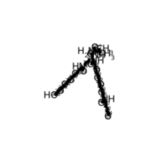 CC(C)[C@H](NC(=O)[C@@H](CCCCNC(=O)CCOCCOCCOCCOCCO)NC(=O)CCOCCOCCOCCOCCNC(=O)CCCCC=O)C(N)=O